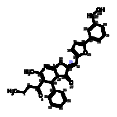 CCCC(=O)C1=C(C)N=c2s/c(=C\c3ccc(-c4cccc(NO)c4)o3)c(=O)n2C1c1ccccc1